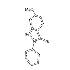 COc1ccc2c(=S)n(-c3ccccc3)[se]c2c1